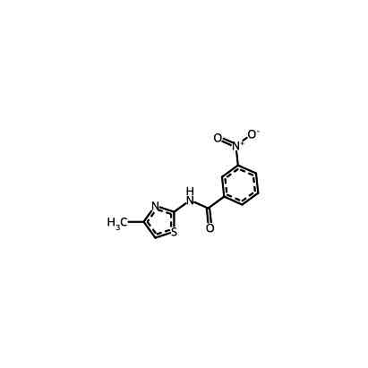 Cc1csc(NC(=O)c2cccc([N+](=O)[O-])c2)n1